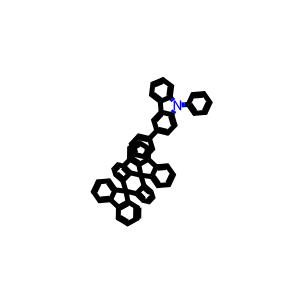 c1ccc2c(c#1)C1(c3ccccc3-2)c2ccccc2C2(c3ccccc3-c3ccccc32)c2c(-c3ccc(-c4ccc5c(c4)c4ccccc4n5-c4ccccc4)cc3)cccc21